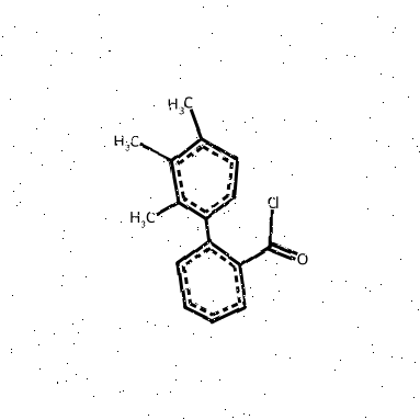 Cc1ccc(-c2ccccc2C(=O)Cl)c(C)c1C